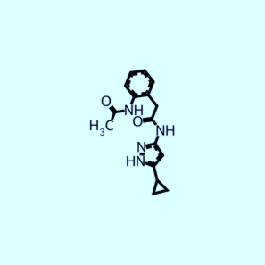 CC(=O)Nc1ccccc1CC(=O)Nc1cc(C2CC2)[nH]n1